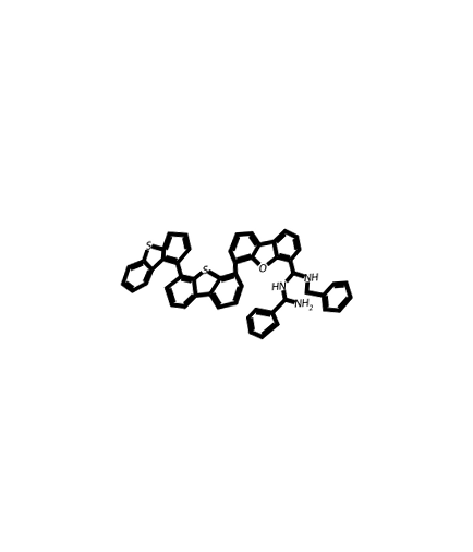 NC(NC(NCc1ccccc1)c1cccc2c1oc1c(-c3cccc4c3sc3c(-c5cccc6sc7ccccc7c56)cccc34)cccc12)c1ccccc1